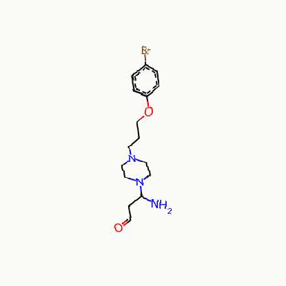 NC(CC=O)N1CCN(CCCOc2ccc(Br)cc2)CC1